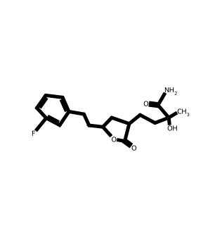 CC(O)(CCC1CC([CH]Cc2cccc(F)c2)OC1=O)C(N)=O